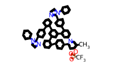 Cc1cnc(-c2ccc(-c3ccccc3-c3cc(-c4ccccc4-c4ccc(-c5nccn5-c5ccccc5)cc4)cc(-c4ccccc4-c4ccc(-c5nccn5-c5ccccc5)cc4)c3)cc2)cc1OS(=O)(=O)C(F)(F)F